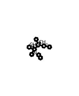 CN1C(C2=CCC(c3ccccc3)C=C2)C=C(c2cc3c(c4c2OC2(C)C=CC=CC42)c2ccccc2n3-c2ccc3ccccc3c2)CC1c1ccccc1